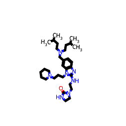 CC(C)CCN(CCC(C)C)Cc1ccc2nc(NCCN3CCNC3=O)n(CCCN3CCCCC3)c2c1